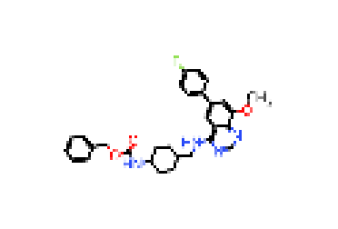 COc1cc(-c2ccc(F)cc2)cc2c(NCC3CCC(NC(=O)OCc4ccccc4)CC3)ncnc12